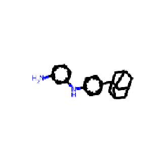 Nc1cccc(Nc2ccc(C34CC5CC(CC(C5)C3)C4)cc2)c1